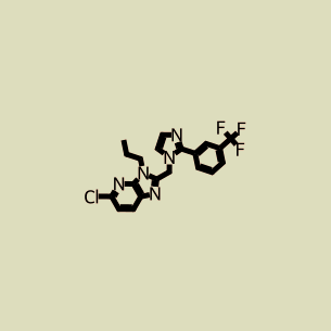 CCCn1c(Cn2ccnc2-c2cccc(C(F)(F)F)c2)nc2ccc(Cl)nc21